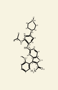 COc1ccccc1-c1c(C(N)=O)sc2cnc(Nc3ccc(N4CCN(C)CC4)nc3OC(C)C)nc12